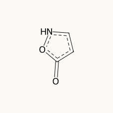 O=c1cc[nH]o1